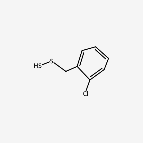 SSCc1ccccc1Cl